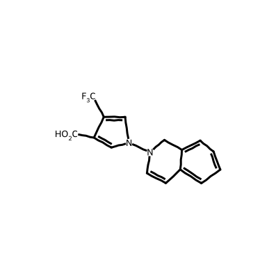 O=C(O)c1cn(N2C=Cc3ccccc3C2)cc1C(F)(F)F